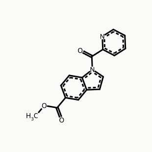 COC(=O)c1ccc2c(ccn2C(=O)c2ccccn2)c1